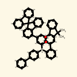 CC1(C)c2ccccc2-c2ccc(-c3ccccc3N(c3ccc(-c4ccccc4)cc3)c3cccc(-c4cccc5c4-c4ccccc4C54c5ccccc5-c5ccccc54)c3)cc21